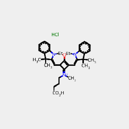 CCN1C(=CC2=C([O-])C(C=C3N(CC)c4ccccc4C3(C)C)/C2=[N+](/C)CCCC(=O)O)C(C)(C)c2ccccc21.Cl